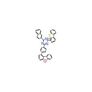 c1ccc2cc(C3=NC(c4ccc(-c5cccc6oc7ccccc7c56)cc4)=NC(c4cccc5c4sc4ccccc45)N3)ccc2c1